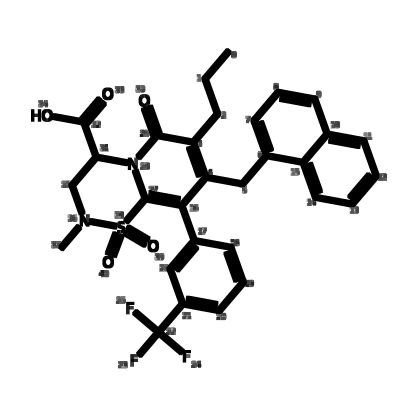 CCCc1c(Cc2cccc3ccccc23)c(-c2cccc(C(F)(F)F)c2)c2n(c1=O)C(C(=O)O)CN(C)S2(=O)=O